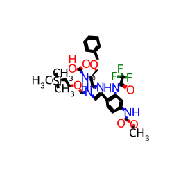 COC(=O)Nc1ccc(-c2cn(COCC[Si](C)(C)C)c([C@H](COCc3ccccc3)NC(=O)O)n2)c(NC(=O)C(F)(F)F)c1